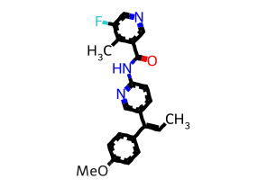 CC=C(c1ccc(OC)cc1)c1ccc(NC(=O)c2cncc(F)c2C)nc1